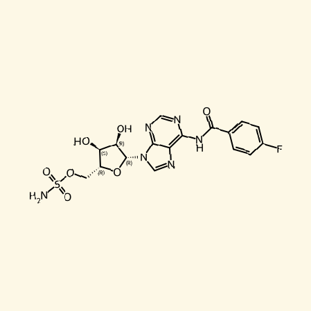 NS(=O)(=O)OC[C@H]1O[C@@H](n2cnc3c(NC(=O)c4ccc(F)cc4)ncnc32)[C@H](O)[C@@H]1O